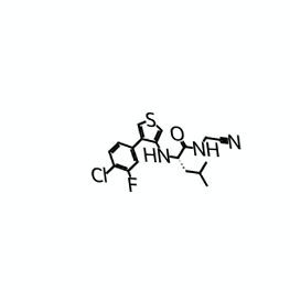 CC(C)C[C@H](Nc1cscc1-c1ccc(Cl)c(F)c1)C(=O)NCC#N